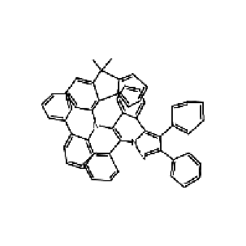 CC1(C)c2ccccc2-c2c(N(c3ccccc3-c3ccccc3)c3c(-c4ccccc4)n4nc(-c5ccccc5)c(-c5ccccc5)c4c4ccccc34)cccc21